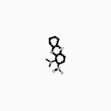 CN(C)c1c([N+](=O)[O-])ccc2[s+]c3ccccc3nc12